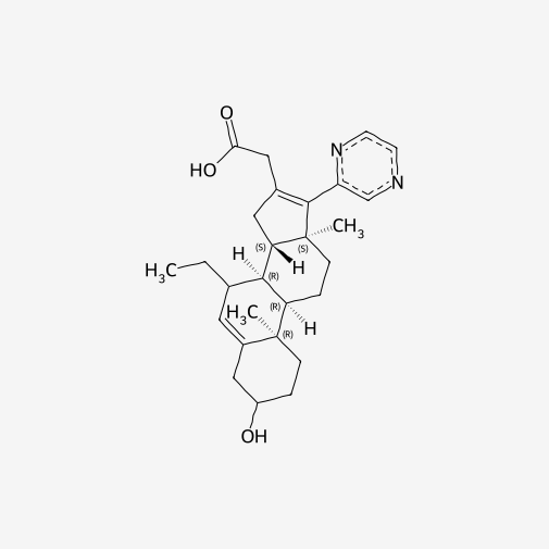 CCC1C=C2CC(O)CC[C@]2(C)[C@@H]2CC[C@]3(C)C(c4cnccn4)=C(CC(=O)O)C[C@H]3[C@H]12